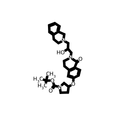 CC(C)(C)OC(=O)N1CCC(Oc2ccc3c(c2)CCN(CC(O)CN2CCc4ccccc4C2)C3=O)C1